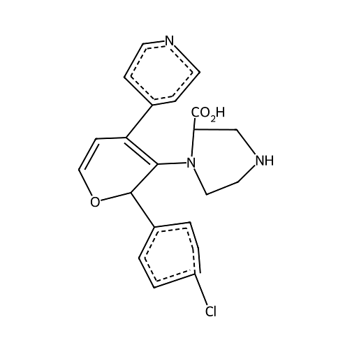 O=C(O)C1CNCCN1C1=C(c2ccncc2)C=COC1c1ccc(Cl)cc1